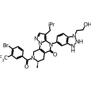 CC(C)Cc1cnn2c3c(c(=O)n(-c4ccc5c(c4)NNN5CCO)c12)C[C@@H](C)N(C(=O)c1ccc(Br)c(C(F)(F)F)c1)C3